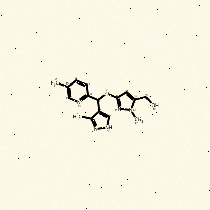 Cc1n[nH]cc1C(Oc1cc(CO)n(C)n1)c1ccc(C(F)(F)F)cn1